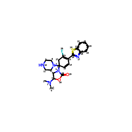 CC(=O)N(C)C1CN(C2(N3CCNCC3)C=CC(c3nc4ccccc4s3)=C(F)C2)C(=O)O1